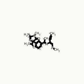 C=N/C=C(C#CC)\N=C(/C)c1cccc(C2(C(C)C)N=C(N)N(C)C2=O)c1